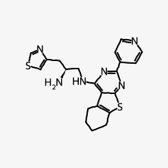 N[C@H](CNc1nc(-c2ccncc2)nc2sc3c(c12)CCCC3)Cc1cscn1